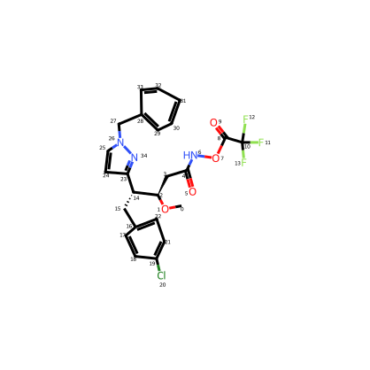 CO[C@H](CC(=O)NOC(=O)C(F)(F)F)[C@H](Cc1ccc(Cl)cc1)c1ccn(Cc2ccccc2)n1